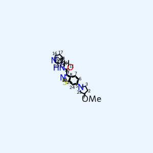 COC1CCN(c2ccc3c(C(=O)N[C@H]4CN5CCC4CC5)nsc3c2)C1